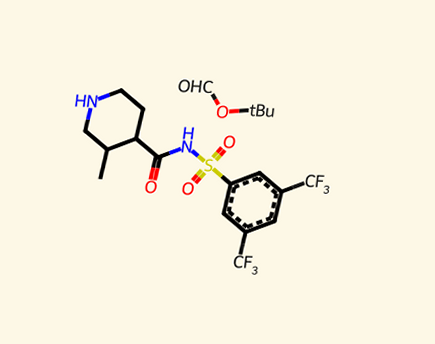 CC(C)(C)OC=O.CC1CNCCC1C(=O)NS(=O)(=O)c1cc(C(F)(F)F)cc(C(F)(F)F)c1